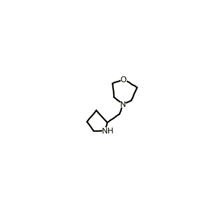 C1CNC(CN2CCOCC2)C1